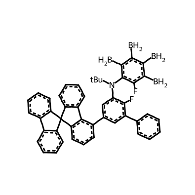 Bc1c(B)c(B)c(N(c2cc(-c3cccc4c3-c3ccccc3C43c4ccccc4-c4ccccc43)cc(-c3ccccc3)c2F)C(C)(C)C)c(F)c1B